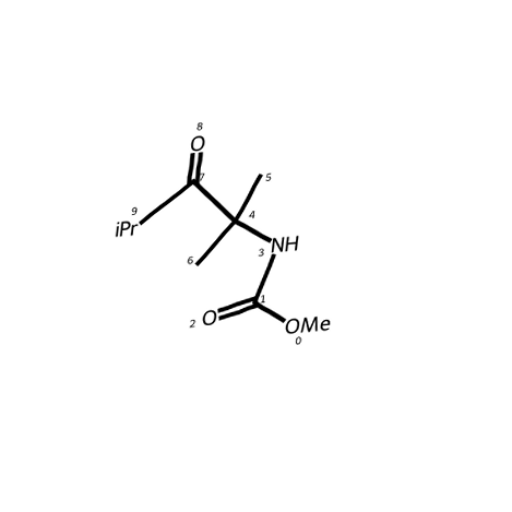 COC(=O)NC(C)(C)C(=O)C(C)C